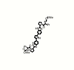 [2H]n1c(-c2ccc3nc(C4CCCN4C(=O)C(/N=C/OOC)C(C)C)[nH]c3c2)ccc1-c1ccc2nc(C3CCCN3C(=O)C(NC(=O)OC)C(C)C)[nH]c2c1